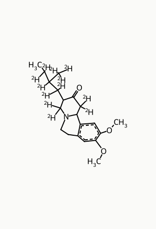 [2H]C1([2H])C(=O)C(C([2H])([2H])C([2H])(C([2H])([2H])[2H])C([2H])([2H])C)C([2H])([2H])N2CCc3cc(OC)c(OC)cc3C21